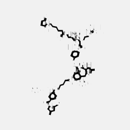 C=C1CC2C=Nc3cc(OCCCCCOc4cc5c(cc4OC)C(=O)N4CC(=C)C[C@H]4[C@H](O)N5C(=O)OCc4ccc(NC(=O)[C@H](CCCNC(N)=O)n5cc(CNC(=O)CCCCCN6C(=O)C=CC6=O)nn5)cc4)c(OC)cc3C(=O)N2C1